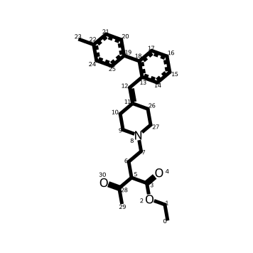 CCOC(=O)C(CCN1CCC(=Cc2ccccc2-c2ccc(C)cc2)CC1)C(C)=O